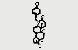 C[C@]12CCC(=O)N(Cc3ccc(Cl)cc3)C1=CC[C@@H]1[C@@H]2CC[C@]2(C)C(=O)CC[C@@H]12